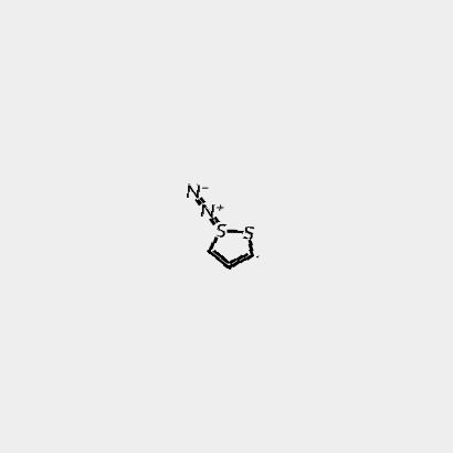 [N-]=[N+]=S1C=C=[C]S1